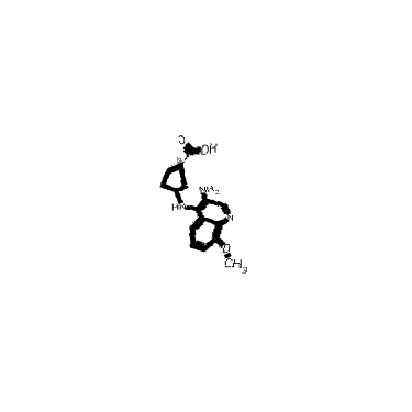 COc1cccc2c(NC3CC[C@H](C(=O)O)C3)c(N)cnc12